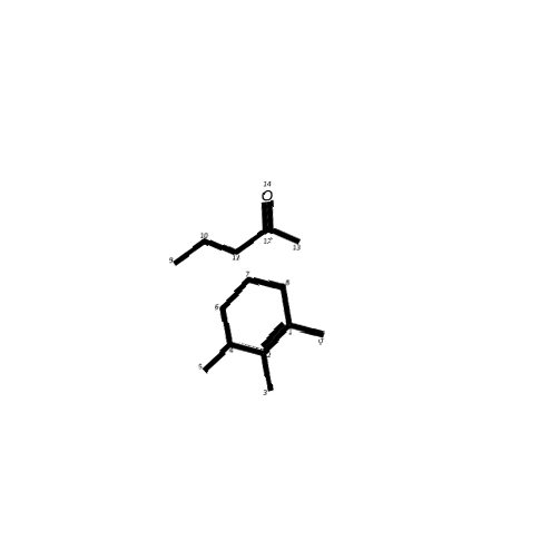 CC1=C(C)C(C)CCC1.CCCC(C)=O